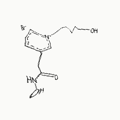 O=C(NO)c1ccc[n+](CCCO)c1.[Br-]